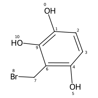 Oc1ccc(O)c(CBr)c1O